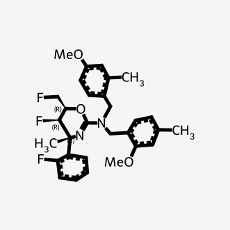 COc1ccc(CN(Cc2ccc(C)cc2OC)C2=N[C@](C)(c3ccccc3F)[C@@H](F)[C@@H](CF)O2)c(C)c1